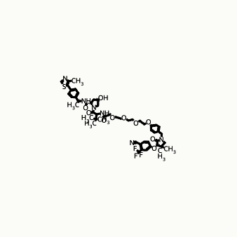 Cc1ncsc1-c1ccc([C@H](C)NC(=O)[C@@H]2C[C@@H](O)CN2C(=O)C(NC(=O)COCCOCCOCCOc2ccc(CN3CC(C)(C)[C@@H](Oc4ccc(C#N)c(C(F)(F)F)c4)C3=O)cc2)C(C)(C)C)cc1